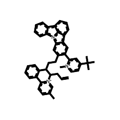 C=CCC1C(CCc2cc3c(cc2-c2cc(C(C)(C)C)cc[n+]2C)c2cccc4c5ccccc5n3c42)c2ccccc2-c2ccc(C)c[n+]21